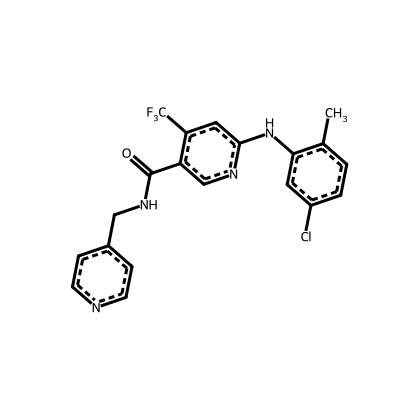 Cc1ccc(Cl)cc1Nc1cc(C(F)(F)F)c(C(=O)NCc2ccncc2)cn1